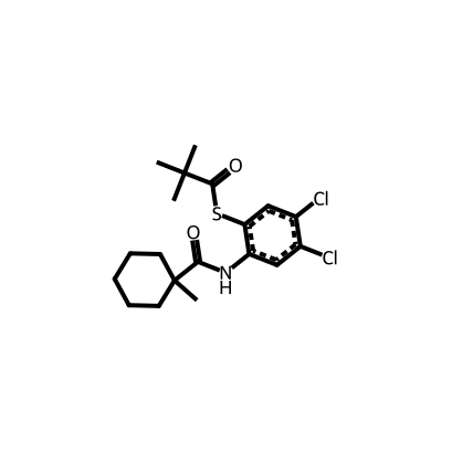 CC(C)(C)C(=O)Sc1cc(Cl)c(Cl)cc1NC(=O)C1(C)CCCCC1